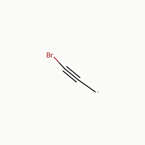 [CH2]C#CBr